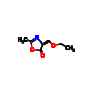 CCO/C=C1/N=C(C)OC1=O